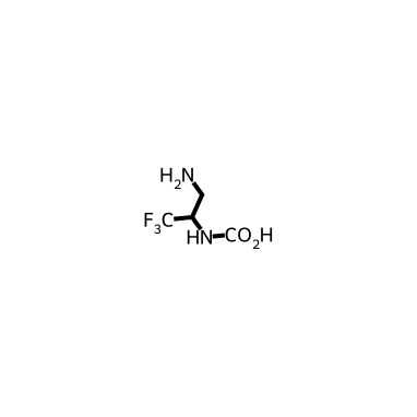 NCC(NC(=O)O)C(F)(F)F